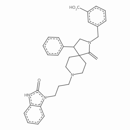 C=C1N(Cc2cccc(C(=O)O)c2)CC(c2ccccc2)C12CCN(CCCn1c(=O)[nH]c3ccccc31)CC2